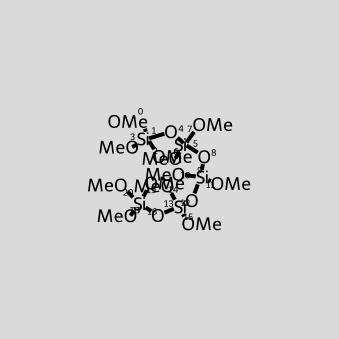 CO[Si](OC)(OC)O[Si](OC)(OC)O[Si](OC)(OC)O[Si](OC)(OC)O[Si](OC)(OC)OC